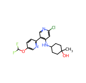 CC1(O)CCC(Nc2cc(Cl)ncc2-c2ccc(OC(F)F)cn2)CC1